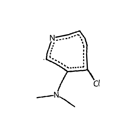 CN(C)c1[c]nccc1Cl